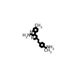 Cc1ccc2c(c1)nc(N)c1ncc(CCc3ccc(C(C)N)cc3)cc12